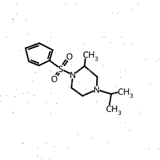 CC(C)N1CCN(S(=O)(=O)c2ccccc2)C(C)C1